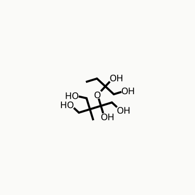 CCC(O)(CO)OC(O)(CO)C(C)(CO)CO